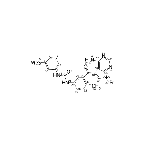 CSc1cccc(NC(=O)Nc2ccc(C)c(C(=O)c3cn(C(C)C)c4ncnc(N)c34)c2)c1